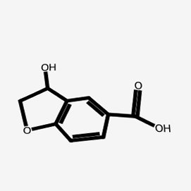 O=C(O)c1ccc2c(c1)C(O)CO2